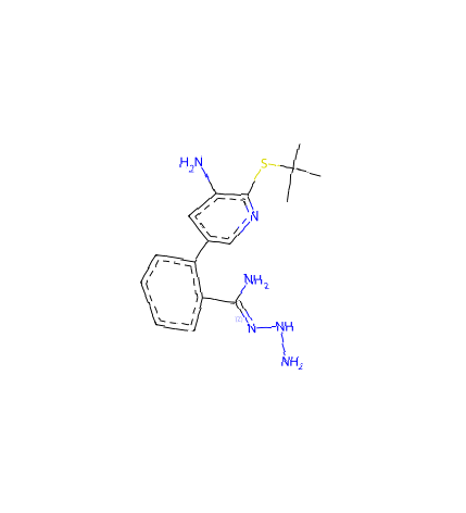 CC(C)(C)Sc1ncc(-c2ccccc2/C(N)=N/NN)cc1N